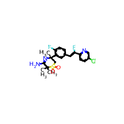 CC1(C)C(N)=N[C@](C)(c2cc(/C=C(\F)c3ccc(Cl)cn3)ccc2F)CS1(=O)=O